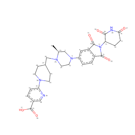 C[C@H]1CN(c2ccc3c(c2)C(=O)N(C2CCC(=O)NC2=O)C3=O)CCN1CC1CCN(c2ccc(C(=O)O)cn2)CC1